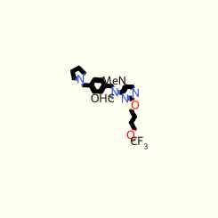 CNc1cnc(OCCCCOC(F)(F)F)nc1N(C=O)Cc1ccc(CN2CCCC2)cc1